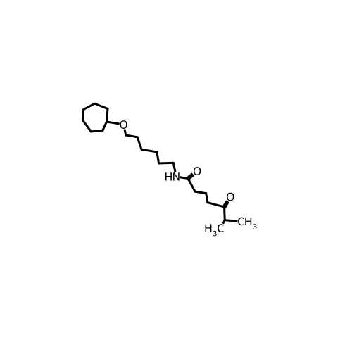 CC(C)C(=O)CCCC(=O)NCCCCCCOC1CCCCCC1